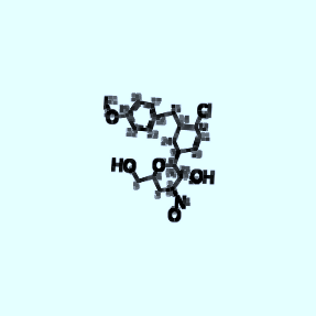 O=N[C@H]1CC(CO)O[C@@H](C2C=CC(Cl)=C(Cc3ccc(OI)cc3)C2)[C@@H]1O